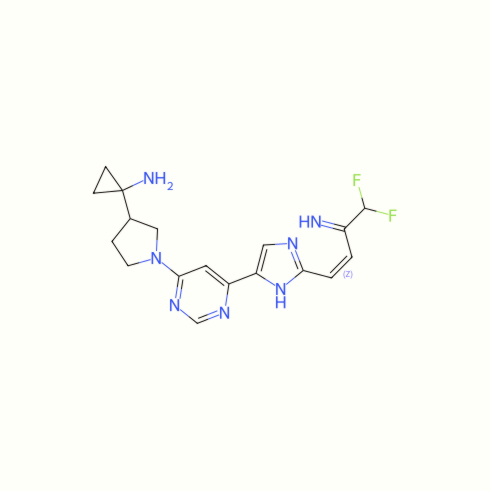 N=C(/C=C\c1ncc(-c2cc(N3CCC(C4(N)CC4)C3)ncn2)[nH]1)C(F)F